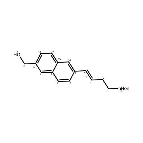 CCCCCCCCCCC/C=C/c1ccc2cc(CO)ccc2c1